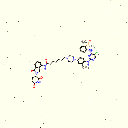 COc1cc(N2CCN(CCCCCCC(=O)Nc3cccc4c3CN(C3CCC(=O)NC3=O)C4=O)CC2)ccc1Nc1ncc(Cl)c(Nc2ccccc2P(C)(C)=O)n1